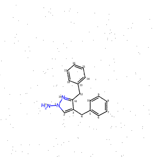 Nn1cc(Cc2ccccc2)c(Cc2ccccc2)n1